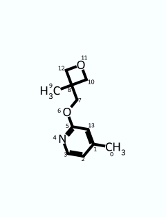 Cc1ccnc(OCC2(C)COC2)c1